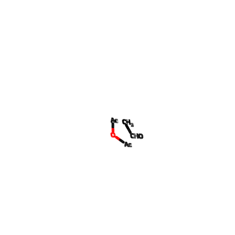 CC(=O)OC(C)=O.CC=O